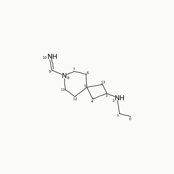 CCNC1CC2(CCN(C=N)CC2)C1